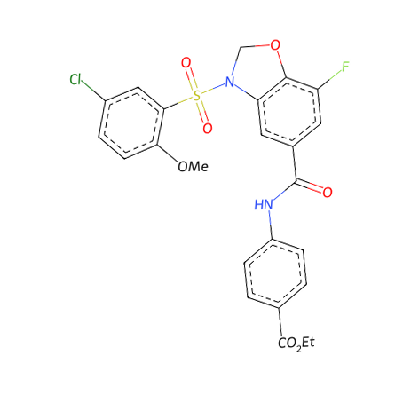 CCOC(=O)c1ccc(NC(=O)c2cc(F)c3c(c2)N(S(=O)(=O)c2cc(Cl)ccc2OC)CO3)cc1